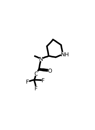 CN(C(=O)CC(F)(F)F)C1CCCNC1